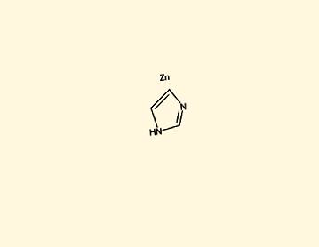 [Zn].c1c[nH]cn1